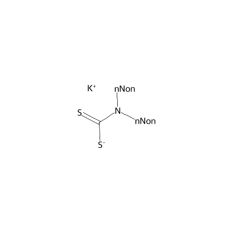 CCCCCCCCCN(CCCCCCCCC)C(=S)[S-].[K+]